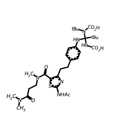 CC(=O)Nc1nc(CCc2ccc(NC(NC(=O)O)(N(C(=O)O)C(C)(C)C)C(C)(C)C)cc2)c(C(=O)N(C)CCC(=O)N(C)C)s1